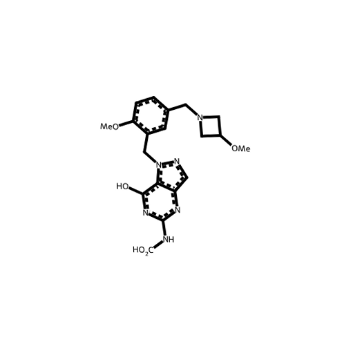 COc1ccc(CN2CC(OC)C2)cc1Cn1ncc2nc(NC(=O)O)nc(O)c21